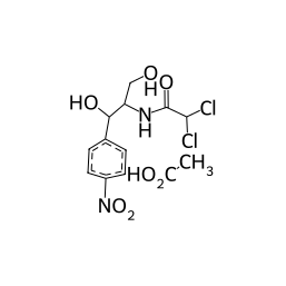 CC(=O)O.O=C(NC(CO)C(O)c1ccc([N+](=O)[O-])cc1)C(Cl)Cl